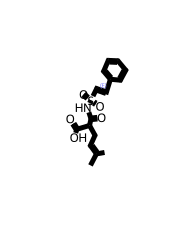 CC(C)=CCC(C(=O)O)C(=O)NS(=O)(=O)/C=C/c1ccccc1